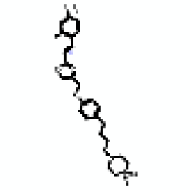 Cc1ccc(/C=C/c2nc(COc3ccc(CCCCN4CCS(=O)(=O)CC4)cc3)co2)c(F)c1